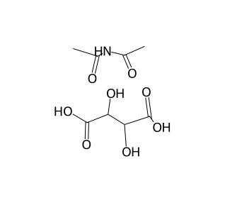 CC(=O)NC(C)=O.O=C(O)C(O)C(O)C(=O)O